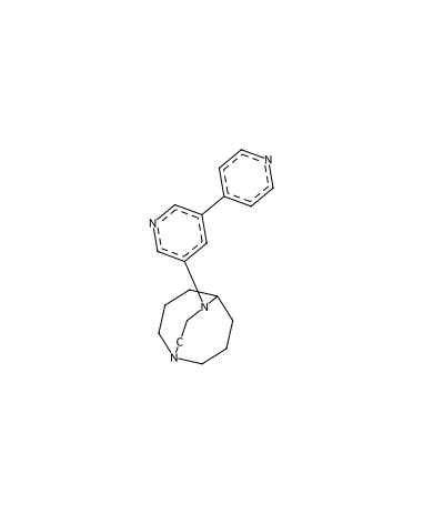 c1cc(-c2cncc(N3CCN4CCCC3CCC4)c2)ccn1